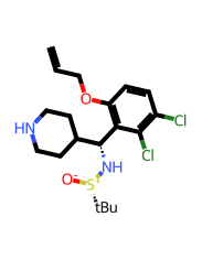 C=CCOc1ccc(Cl)c(Cl)c1[C@H](N[S@@+]([O-])C(C)(C)C)C1CCNCC1